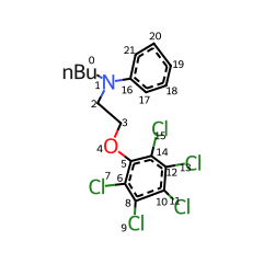 CCCCN(CCOc1c(Cl)c(Cl)c(Cl)c(Cl)c1Cl)c1ccccc1